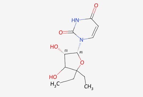 CCC1(CC)O[C@@H](n2ccc(=O)[nH]c2=O)[C@@H](O)C1O